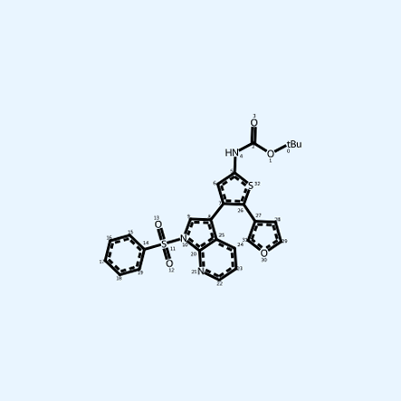 CC(C)(C)OC(=O)Nc1cc(-c2cn(S(=O)(=O)c3ccccc3)c3ncccc23)c(-c2ccoc2)s1